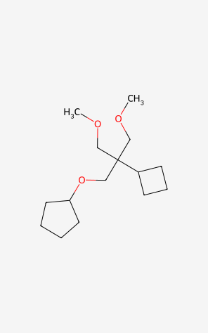 COCC(COC)(COC1CCCC1)C1CCC1